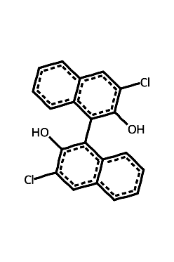 Oc1c(Cl)cc2ccccc2c1-c1c(O)c(Cl)cc2ccccc12